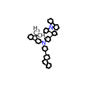 CC1(C)c2ccccc2-c2ccc(N(c3ccc(-c4ccc5c(ccc6ccccc65)c4)cc3)c3ccc(-c4ccccc4-c4ccccc4-n4c5ccccc5c5ccccc54)cc3)cc21